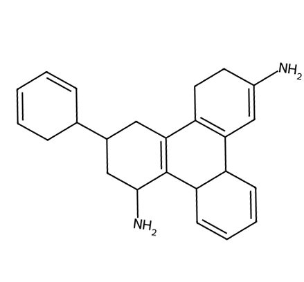 NC1=CC2=C(CC1)C1=C(C(N)CC(C3C=CC=CC3)C1)C1C=CC=CC21